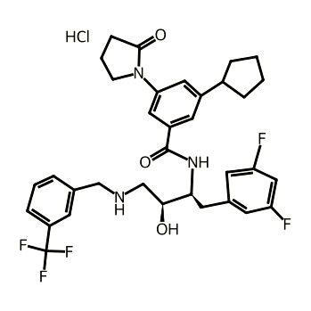 Cl.O=C(N[C@@H](Cc1cc(F)cc(F)c1)[C@@H](O)CNCc1cccc(C(F)(F)F)c1)c1cc(C2CCCC2)cc(N2CCCC2=O)c1